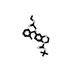 CCOC(=O)C[C@H](c1ccc2c(c1)OCCN2C(=O)OC(C)(C)C)c1ccccc1C